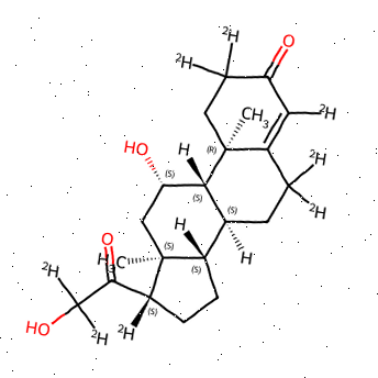 [2H]C1=C2C([2H])([2H])C[C@@H]3[C@H]([C@@H](O)C[C@@]4(C)[C@H]3CC[C@]4([2H])C(=O)C([2H])([2H])O)[C@@]2(C)CC([2H])([2H])C1=O